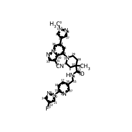 Cn1cc(-c2cc(N3CCC(C)(C(=O)NCc4ccc(-n5cc(F)cn5)nc4)CC3)c3c(C#N)cnn3c2)cn1